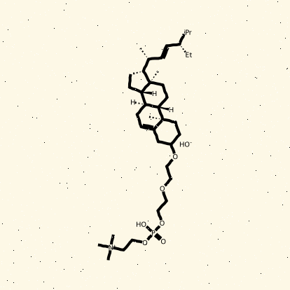 CC[C@H](/C=C/[C@@H](C)[C@H]1CC[C@H]2[C@@H]3CC=C4CC(OCCOCCOP(=O)(O)OCC[N+](C)(C)C)CC[C@]4(C)[C@H]3CC[C@]12C)C(C)C.[OH-]